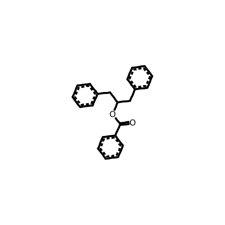 O=C(OC(Cc1ccccc1)Cc1ccccc1)c1ccccc1